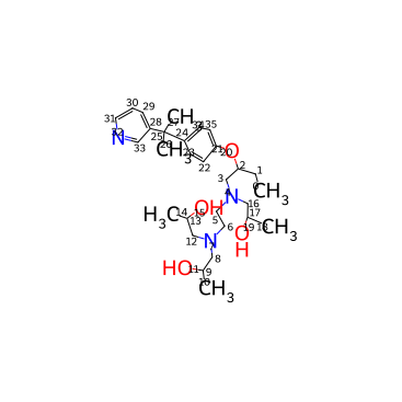 CCC(CN(CCN(CC(C)O)CC(C)O)CC(C)O)Oc1ccc(C(C)(C)c2cccnc2)cc1